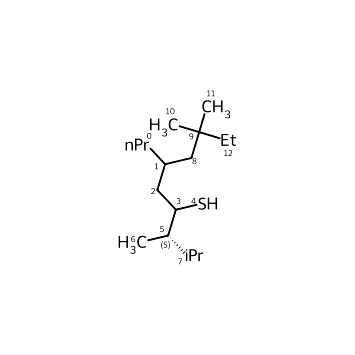 CCCC(CC(S)[C@@H](C)C(C)C)CC(C)(C)CC